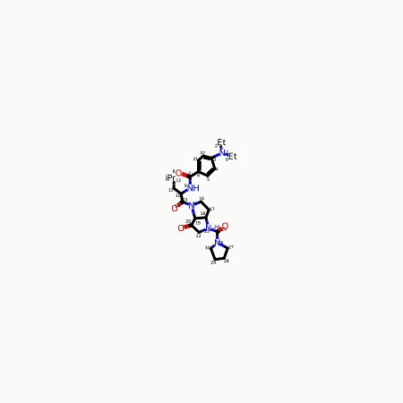 CCN(CC)c1ccc(C(=O)NC(CC(C)C)C(=O)N2CCC3C2C(=O)CN3C(=O)N2CCCC2)cc1